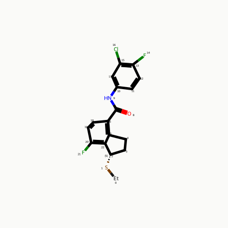 CCS[C@H]1CCc2c(C(=O)Nc3ccc(F)c(Cl)c3)ccc(F)c21